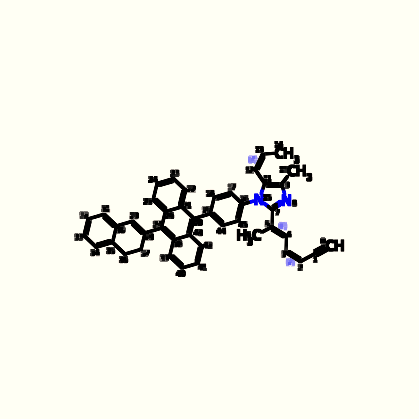 C#C/C=C\C=C(/C)c1nc(C)c(/C=C\C)n1-c1ccc(-c2c3ccccc3c(C3=Cc4ccccc4CC3)c3ccccc23)cc1